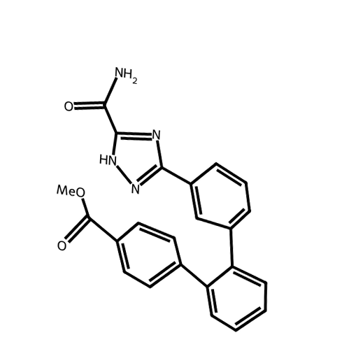 COC(=O)c1ccc(-c2ccccc2-c2cccc(-c3n[nH]c(C(N)=O)n3)c2)cc1